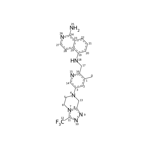 Cc1cc(N2CCn3c(nnc3C(F)(F)F)C2)cnc1CNc1cccc2c(N)nccc12